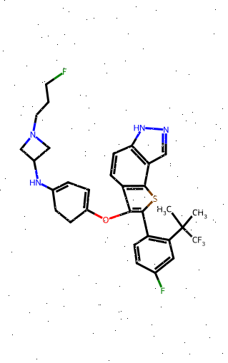 CC(C)(c1cc(F)ccc1-c1sc2c(ccc3[nH]ncc32)c1OC1=CC=C(NC2CN(CCCF)C2)CC1)C(F)(F)F